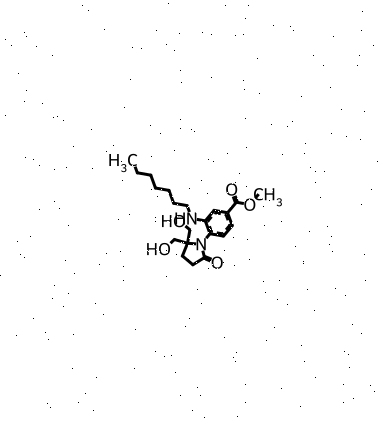 CCCCCCCNc1cc(C(=O)OC)ccc1N1C(=O)CCC1(CO)CO